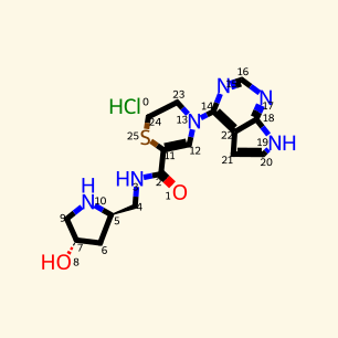 Cl.O=C(NC[C@H]1C[C@H](O)CN1)C1=CN(c2ncnc3[nH]ccc23)CCS1